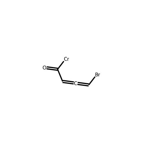 O=[C]([Cr])C=C=CBr